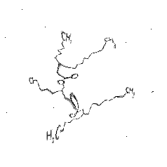 CCCCCCCCC(CCCCCC)CC(=O)OCC(CCCCCl)COC(=O)CC(CCCCCC)CCCCCCCC